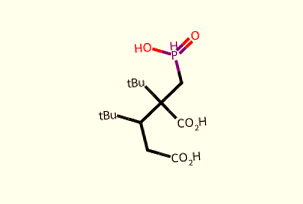 CC(C)(C)C(CC(=O)O)C(C[PH](=O)O)(C(=O)O)C(C)(C)C